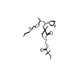 CCCOCCOC(C)CC(CC(C)(CC)C(=O)OCCOC(=O)C(C)(C)CC)n1ccnc1